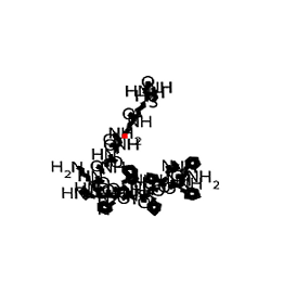 C[C@H](NC(=O)[C@H](Cc1ccccc1)NC(=O)[C@@H]1CCCN1C(=O)[C@H](Cc1c[nH]cn1)NC(=O)[C@H](Cc1ccccc1)NC(=O)[C@@H](N)Cc1ccccc1)C(=O)N[C@@H](Cc1c[nH]c2ccccc12)C(=O)N[C@@H](Cc1ccccc1)C(=O)N[C@@H](Cc1c[nH]cn1)C(=O)N[C@@H](CCCCN)C(=O)NCC(=O)NCC(=O)NCC(=O)N[C@@H](CCCCNC(=O)CCCC[C@@H]1SC[C@@H]2NC(=O)N[C@@H]21)C(N)=O